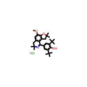 COc1cc2c(c3c1OC(C)(C)C3)C(c1cc(C(C)(C)C)c(O)c(C(C)(C)C)c1)=NC(C)(C)C2.Cl